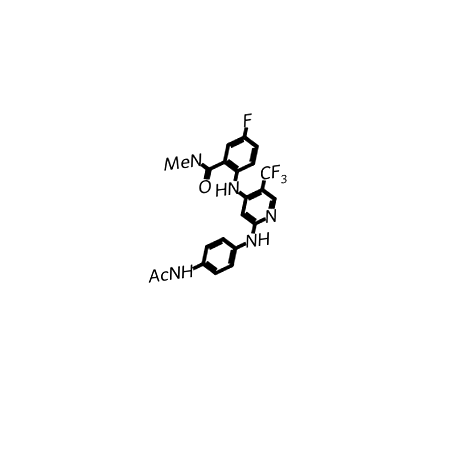 CNC(=O)c1cc(F)ccc1Nc1cc(Nc2ccc(NC(C)=O)cc2)ncc1C(F)(F)F